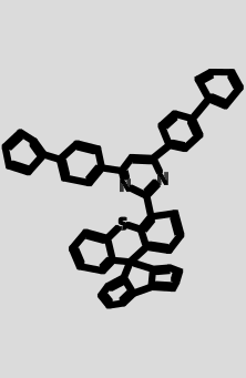 c1ccc(-c2ccc(-c3cc(-c4ccc(-c5ccccc5)cc4)nc(-c4cccc5c4Sc4ccccc4C54c5ccccc5-c5ccccc54)n3)cc2)cc1